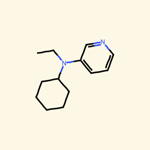 CCN(c1cccnc1)C1CCCCC1